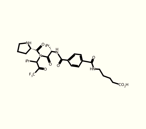 CC(C)C(C(=O)C(F)(F)F)N(C(=O)[C@@H]1CCCN1)C(=O)[C@@H](NC(=O)c1ccc(C(=O)NCCCCC(=O)O)cc1)C(C)C